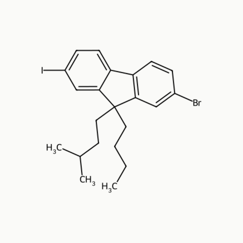 CCCCC1(CCC(C)C)c2cc(Br)ccc2-c2ccc(I)cc21